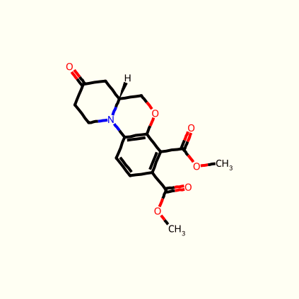 COC(=O)c1ccc2c(c1C(=O)OC)OC[C@H]1CC(=O)CCN21